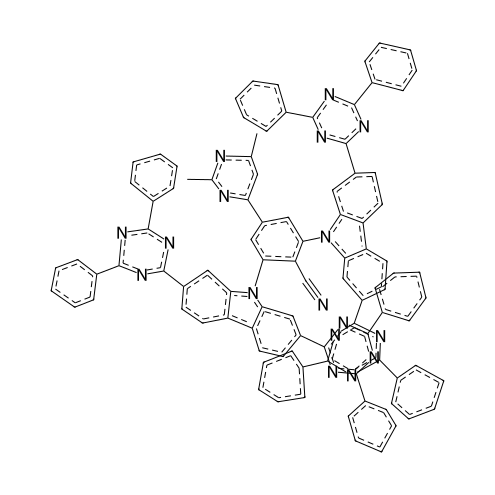 Cc1cc(-c2cc(-n3c4cc(-c5nc(-c6ccccc6)nc(-c6ccccc6)n5)ccc4c4ccc(-c5nc(-c6ccccc6)nc(-c6ccccc6)n5)cc43)c(C#N)c(-n3c4cc(-c5nc(-c6ccccc6)nc(-c6ccccc6)n5)ccc4c4ccc(-c5nc(-c6ccccc6)nc(-c6ccccc6)n5)cc43)c2)nc(C)n1